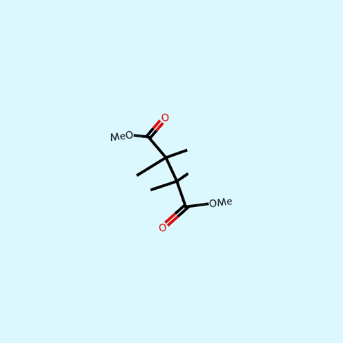 COC(=O)C(C)(C)C(C)(C)C(=O)OC